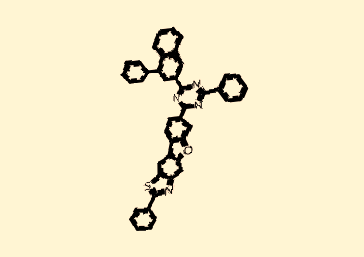 c1ccc(-c2nc(-c3cc(-c4ccccc4)c4ccccc4c3)nc(-c3ccc4c(c3)oc3cc5nc(-c6ccccc6)sc5cc34)n2)cc1